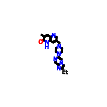 CCc1cn2cc(N3CCN(Cc4cnc5cc(C)c(=O)[nH]c5c4)CC3)ncc2n1